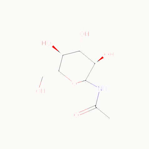 CC(=O)N[C]1O[C@H](CO)[C@@H](O)[C@H](O)[C@H]1O